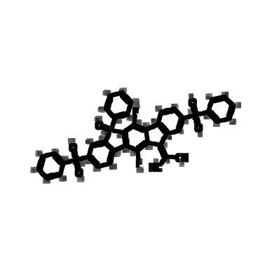 N#CC(C#N)=C1c2cc(S(=O)(=O)c3ccccc3)ccc2-c2c(F)c3c(c(F)c21)-c1ccc(S(=O)(=O)c2ccccc2)cc1P3(=O)c1ccccc1